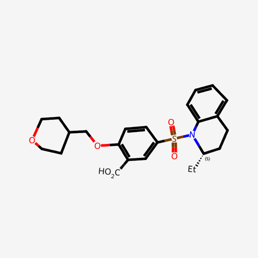 CC[C@H]1CCc2ccccc2N1S(=O)(=O)c1ccc(OCC2CCOCC2)c(C(=O)O)c1